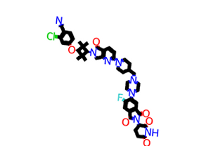 CC1(C)[C@H](Oc2ccc(C#N)c(Cl)c2)C(C)(C)[C@H]1N1Cc2nc(N3CCC(CN4CCN(c5cc6c(cc5F)C(=O)N(C5CCC(=O)NC5=O)C6=O)CC4)CC3)ccc2C1=O